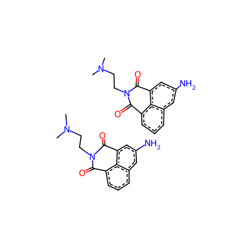 CN(C)CCN1C(=O)c2cccc3cc(N)cc(c23)C1=O.CN(C)CCN1C(=O)c2cccc3cc(N)cc(c23)C1=O